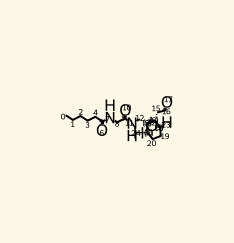 CCCCCC(=O)NCC(=O)NC[C@@H]1[C@H](CC=O)[C@@H]2CC[C@H]1O2